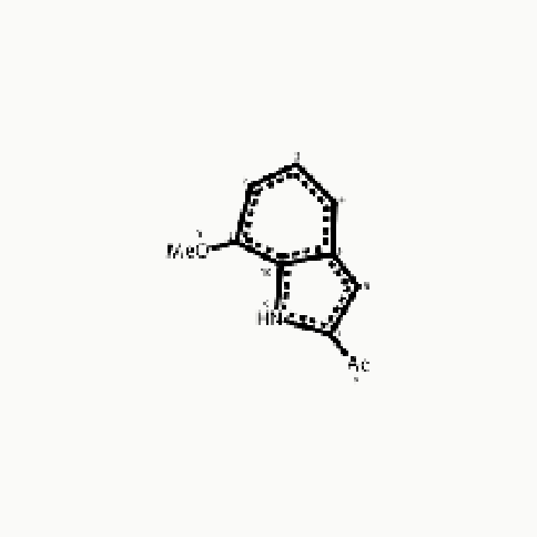 COc1cccc2cc(C(C)=O)[nH]c12